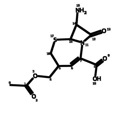 CC(=O)OCC1C=C(C(=O)O)N2C(=O)C(N)C2SC1